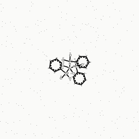 Cl[PH](Cl)(c1ccccc1)[Ru]([Cl])([Cl])([PH](Cl)(Cl)c1ccccc1)[PH](Cl)(Cl)c1ccccc1